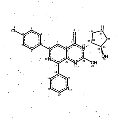 O=c1c2cc(-c3ccc(Cl)cc3)nc(-c3cccnc3)c2nc(O)n1[C@@H]1CNC[C@H]1O